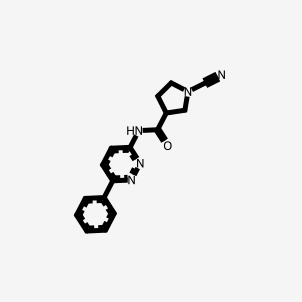 N#CN1CCC(C(=O)Nc2ccc(-c3ccccc3)nn2)C1